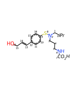 CC(C)CN(CCCNC(=O)O)Sc1ccc(/C=C/CO)cc1